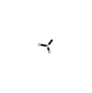 [CH]=S(=O)=O